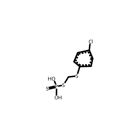 OP(O)(=S)SCSc1ccc(Cl)cc1